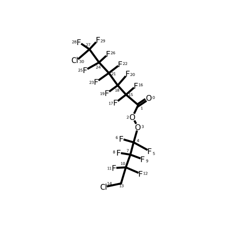 O=C(OOC(F)(F)C(F)(F)C(F)(F)CCl)C(F)(F)C(F)(F)C(F)(F)C(F)(F)C(F)(F)Cl